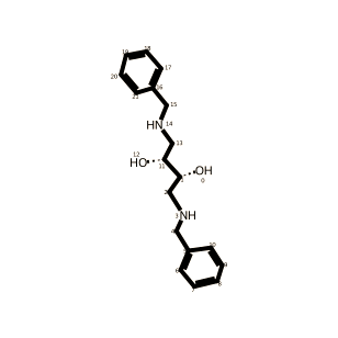 O[C@H](CNCc1ccccc1)[C@H](O)CNCc1ccccc1